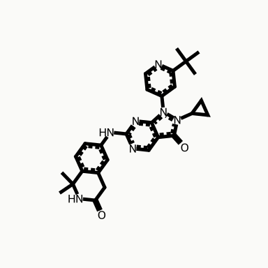 CC(C)(C)c1cc(-n2c3nc(Nc4ccc5c(c4)CC(=O)NC5(C)C)ncc3c(=O)n2C2CC2)ccn1